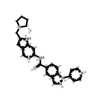 C[C@H]1CCCN1Cc1cc2cnc(NC(=O)c3ccc4c(cnn4-c4ccncc4)c3)cc2[nH]1